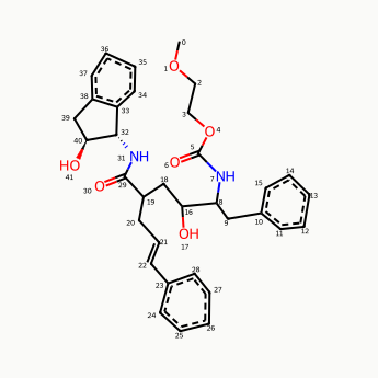 COCCOC(=O)NC(Cc1ccccc1)C(O)CC(CC=Cc1ccccc1)C(=O)N[C@H]1c2ccccc2C[C@@H]1O